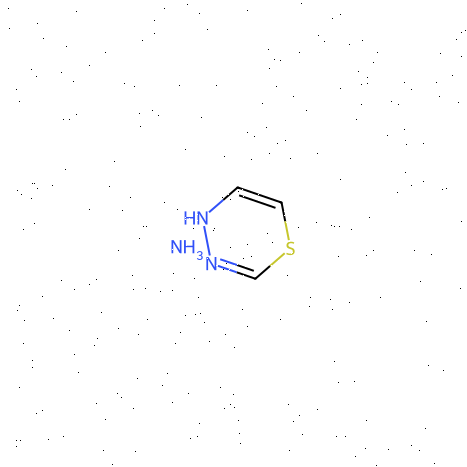 C1=CSC=NN1.N